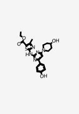 CCOC(=O)c1sc(Nc2nc(-c3ccc(O)cc3)cc(N3CCC(O)CC3)n2)nc1C